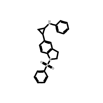 O=S(=O)(c1ccccc1)N1CCc2cc(C3CC3Nc3ccccc3)ccc21